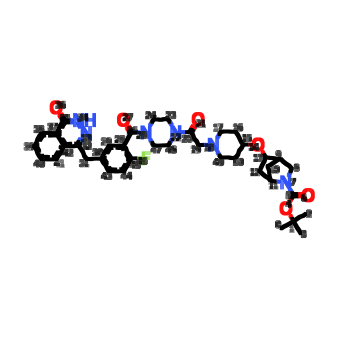 CC(C)(C)OC(=O)N1CC2CC1CC2OC1CCN(CC(=O)N2CCN(C(=O)c3cc(Cc4n[nH]c(=O)c5ccccc45)ccc3F)CC2)CC1